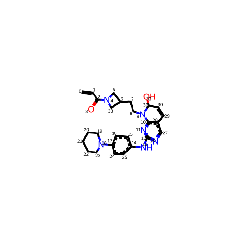 C=CC(=O)N1CC(CCN2c3nc(Nc4ccc(N5CCCCC5)cc4)ncc3C=CC2O)C1